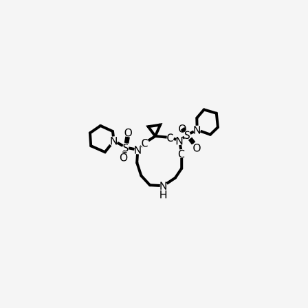 O=S(=O)(N1CCCCC1)N1CCCNCCCN(S(=O)(=O)N2CCCCC2)CC2(CC2)C1